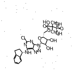 CC(C)(P(=O)(O)O)P(=O)(O)OC[C@H]1O[C@@H](n2nnc3c(N[C@H]4CCc5ccccc54)nc(Cl)nc32)[C@H](O)[C@@H]1O